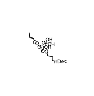 CC=COOOOOOCCCCCCCCCCCCC.O=P(O)(O)O